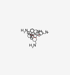 CN(C)CC1CCC(C[N+]2(c3c(CN)ccc(CN)c3[N+]3(CC4CCC(CN)CC4)C(=O)CCC3=O)C(=O)CCC2=O)CC1